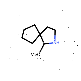 COC1NCCC12CCCC2